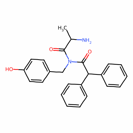 CC(N)C(=O)N(Cc1ccc(O)cc1)C(=O)C(c1ccccc1)c1ccccc1